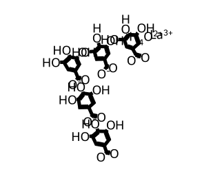 O=C([O-])c1cc(O)c(O)c(O)c1.O=C([O-])c1cc(O)c(O)c(O)c1.O=C([O-])c1cc(O)c(O)c(O)c1.O=C([O-])c1cc(O)c(O)c(O)c1.O=C([O-])c1cc(O)c(O)c(O)c1.[La+3].[OH4+2]